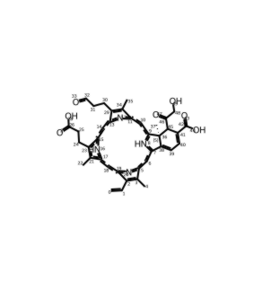 C=CC1=C(C)c2cc3[nH]c(cc4nc(cc5[nH]c(cc1n2)c(C)c5CCC(=O)O)C(CCC=O)=C4C)[C@]1(C)C3=CC=C(C(=O)O)C1C(=O)CO